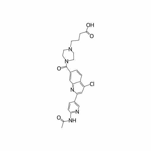 CC(=O)Nc1ccc(-c2cc(Cl)c3ccc(C(=O)N4CCN(CCCC(=O)O)CC4)cc3n2)cn1